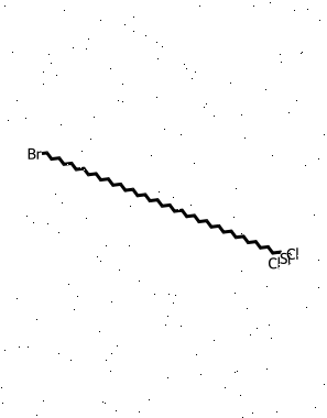 C[Si](Cl)(Cl)CCCCCCCCCCCCCCCCCCCCCCCCCCCCCCCCCCCCCCCBr